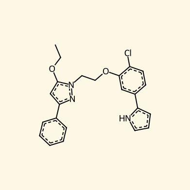 CCOc1cc(-c2ccccc2)nn1CCOc1cc(-c2ccc[nH]2)ccc1Cl